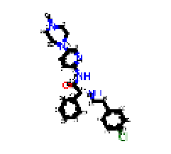 CN1CCN(c2ccc(NC(=O)[C@H](NCCc3ccc(Cl)cc3)c3ccccc3)nc2)CC1